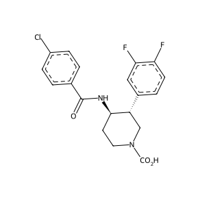 O=C(N[C@@H]1CCN(C(=O)O)C[C@H]1c1ccc(F)c(F)c1)c1ccc(Cl)cc1